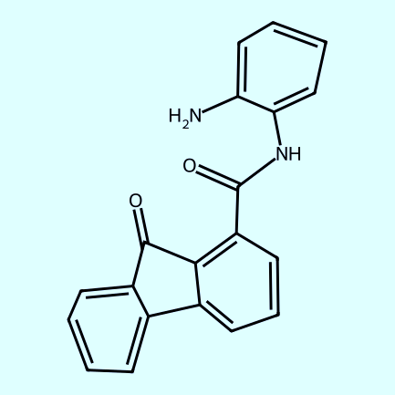 Nc1ccccc1NC(=O)c1cccc2c1C(=O)c1ccccc1-2